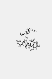 CC(=O)O.COC(=O)CCC1CN(C2CCCCC2)C(=O)N1c1ccc2c(c1)CCNC2